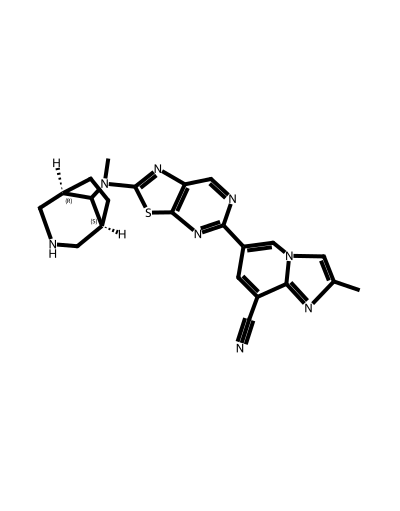 Cc1cn2cc(-c3ncc4nc(N(C)C5[C@@H]6CC[C@H]5CNC6)sc4n3)cc(C#N)c2n1